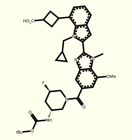 COc1cc(C(=O)N2C[C@H](F)C[C@@H](NC(=O)OC(C)(C)C)C2)cc2nc(-c3cc4cccc(C5CC(C(=O)O)C5)c4n3CC3CC3)n(C)c12